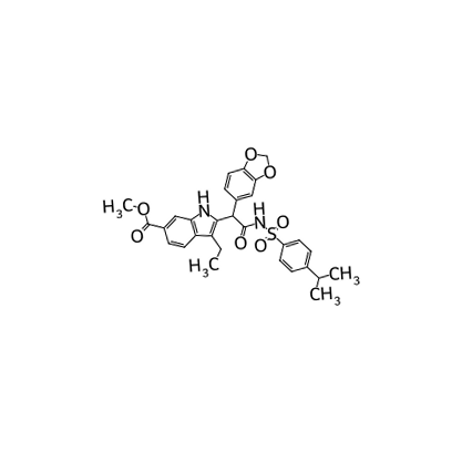 CCc1c(C(C(=O)NS(=O)(=O)c2ccc(C(C)C)cc2)c2ccc3c(c2)OCO3)[nH]c2cc(C(=O)OC)ccc12